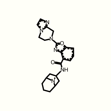 CN1C2CCCC1CC(NC(=O)c1cccc3oc(N4CCn5ccnc5C4)nc13)C2